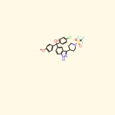 COc1ccc(C(O)(c2ccc(Cl)cc2)c2ccc3[nH]nc(C4CCN(S(=O)(=O)C(F)(F)F)CC4)c3c2)cc1